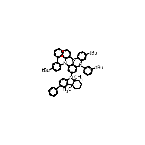 CC(C)(C)c1cccc(N2c3cc(C(C)(C)C)ccc3B3c4ccccc4N(c4ccc(C(C)(C)C)cc4-c4ccccc4)c4cc(N5c6ccc(-c7ccccc7)cc6C6(C)CCCCC56C)cc2c43)c1